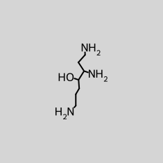 NCCCC(O)C(N)CCN